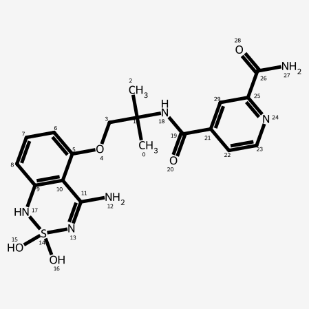 CC(C)(COc1cccc2c1C(N)=NS(O)(O)N2)NC(=O)c1ccnc(C(N)=O)c1